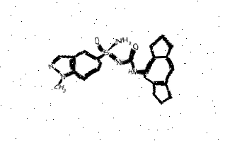 Cn1ncc2cc([S@](N)(=O)=NC(=O)Nc3c4c(cc5c3CCC5)CCC4)ccc21